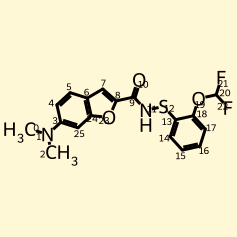 CN(C)c1ccc2cc(C(=O)NSc3ccccc3OC(F)F)oc2c1